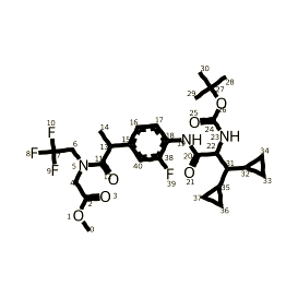 COC(=O)CN(CC(F)(F)F)C(=O)C(C)c1ccc(NC(=O)C(NC(=O)OC(C)(C)C)C(C2CC2)C2CC2)c(F)c1